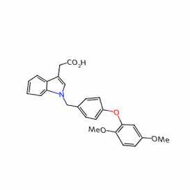 COc1ccc(OC)c(Oc2ccc(Cn3cc(CC(=O)O)c4ccccc43)cc2)c1